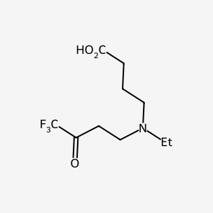 CCN(CCCC(=O)O)CCC(=O)C(F)(F)F